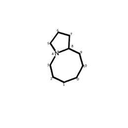 C1CCCN2CCCC2CC1